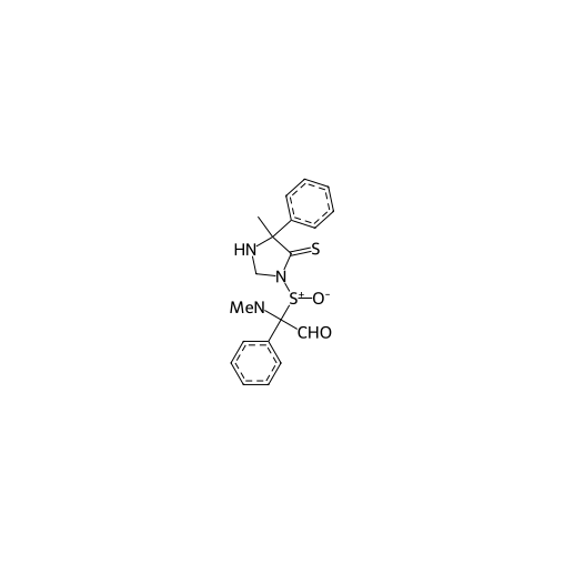 CNC(C=O)(c1ccccc1)[S+]([O-])N1CNC(C)(c2ccccc2)C1=S